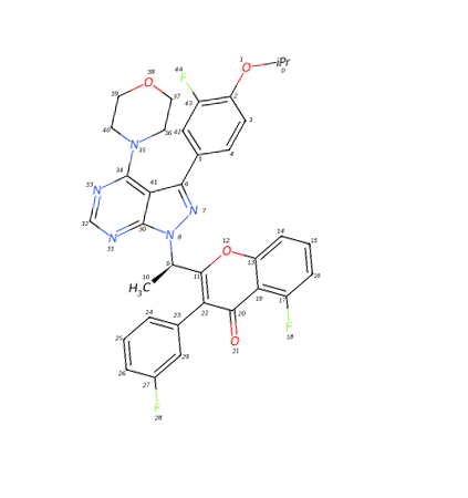 CC(C)Oc1ccc(-c2nn([C@H](C)c3oc4cccc(F)c4c(=O)c3-c3cccc(F)c3)c3ncnc(N4CCOCC4)c23)cc1F